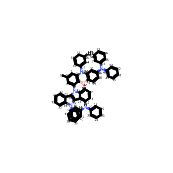 Cc1cc2c3c(c1)-n1c4c(ccc(N(c5ccccc5)c5ccccc5)c4c4c1c1ccccc1n4-c1ccccc1)B3c1ccc(N(c3ccccc3)c3ccccc3)cc1N2C1=CC(C(C)(C)C)CC=C1